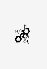 CC1NCCC2=NN(C)C(=O)C21Cc1ccccc1